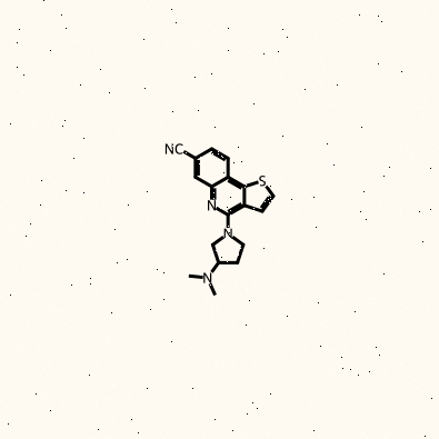 CN(C)C1CCN(c2nc3cc(C#N)ccc3c3sccc23)C1